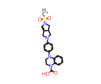 CS(=O)(=O)N1C=C2CN(c3ccc(N4CCN(C(=O)O)c5ccccc54)cc3)CC2C1